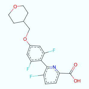 O=C(O)c1ccc(F)c(-c2c(F)cc(OCC3CCOCC3)cc2F)n1